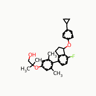 Cc1cc(OC(C)(C)CO)cc(C)c1-c1ccc(F)c2c1CCC2Oc1ccc(C2CC2)cc1